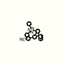 N#Cc1ccc(-c2ccc3c(c2)-c2c(-c4nc(-c5ccccc5)nc(-c5ccccc5)n4)cccc2C32C3CC4CC(C3)CC2C4)cc1